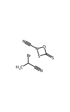 CC(Br)C#N.N#Cn1oc(=S)s1